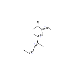 C=C(C)C(=C/C)/N=C(C)/C(C)=C/C=C\C